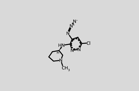 CN1CCC[C@@H](Nc2nnc(Cl)cc2N=[N+]=[N-])C1